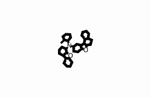 Cc1ccccc1N(c1ccc2oc3ccc4ccccc4c3c2c1)c1cccc2c1oc1ccccc12